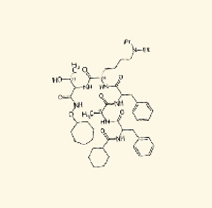 CCN(CCCC[C@H](NC(=O)C(Cc1ccccc1)NC(=O)[C@H](C)NC(=O)C(Cc1ccccc1)NC(=O)C1CCCCC1)C(=O)NC(C(=O)NOC1CCCCCC1)[C@@H](C)O)C(C)C